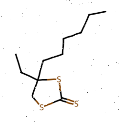 CCCCCCC1(CC)CSC(=S)S1